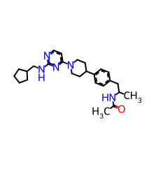 CC(=O)NC(C)Cc1ccc(C2CCN(c3ccnc(NCC4CCCC4)n3)CC2)cc1